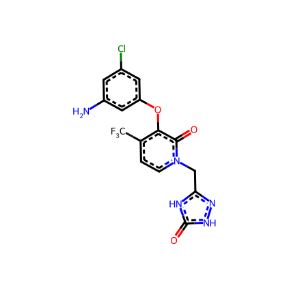 Nc1cc(Cl)cc(Oc2c(C(F)(F)F)ccn(Cc3n[nH]c(=O)[nH]3)c2=O)c1